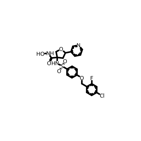 O=C(NO)C1(NS(=O)(=O)c2ccc(OCc3ccc(Cl)cc3F)cc2)COC(c2cccnc2)C1